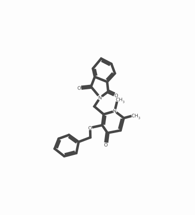 Cc1cc(=O)c(OCc2ccccc2)c(CN2C(=O)c3ccccc3C2=O)n1C